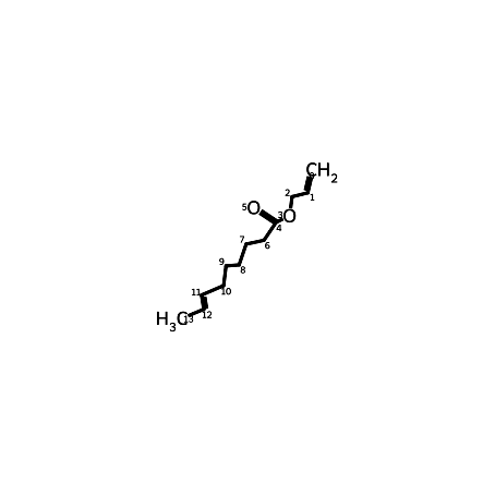 C=CCOC(=O)CCCCCC=CC